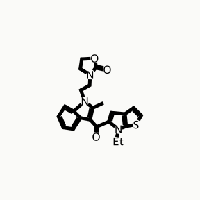 CCn1c(C(=O)c2c(C)n(CCN3CCOC3=O)c3ccccc23)cc2ccsc21